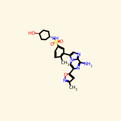 Cc1cc(-c2cn3c(-c4cc(S(=O)(=O)N[C@H]5CC[C@H](O)CC5)ccc4C)cnc3c(N)n2)on1